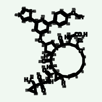 CC[C@@H]1OCCCC=C[C@@H]2C[C@@]2(C(=O)NS(=O)(=O)C2(C)CC2)NC(=O)[C@@H]2C[C@@H](Oc3cc(-c4ccc(OC(C)C)cc4)nc(-c4cncs4)c3)CN2C(=O)[C@H]1NC(=O)O